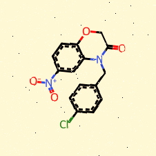 O=C1COc2ccc([N+](=O)[O-])cc2N1Cc1ccc(Cl)cc1